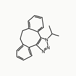 CC(C)n1nnc2c1-c1ccccc1CCc1ccccc1-2